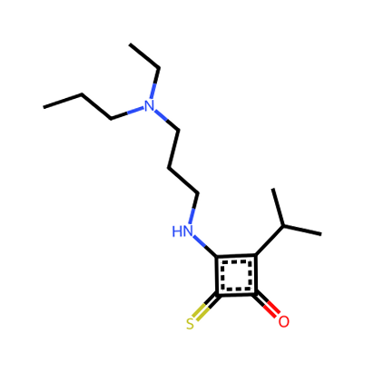 CCCN(CC)CCCNc1c(C(C)C)c(=O)c1=S